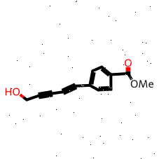 COC(=O)c1ccc(C#CC#CCO)cc1